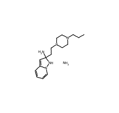 CCCN1CCN(CCC2(N)C=C3C=CC=CN3N2)CC1.N